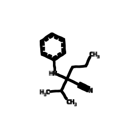 CCCC(C#N)(Nc1ccccc1)C(C)C